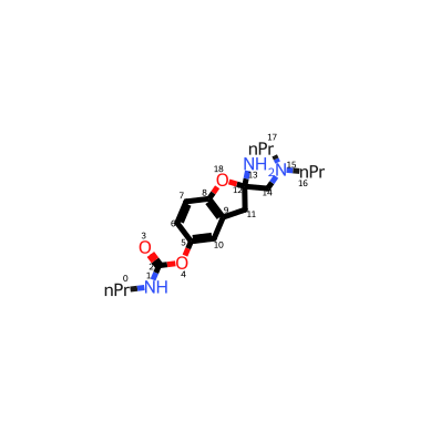 CCCNC(=O)Oc1ccc2c(c1)CC(N)(CN(CCC)CCC)O2